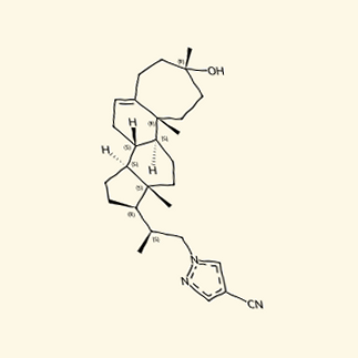 C[C@H](Cn1cc(C#N)cn1)[C@H]1CC[C@H]2[C@@H]3CC=C4CC[C@](C)(O)CC[C@]4(C)[C@H]3CC[C@]12C